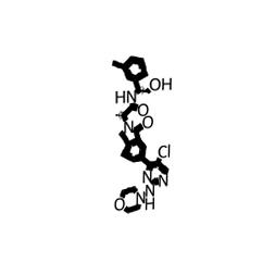 Cc1cccc([C@@H](CO)NC(=O)[C@@H](C)N2Cc3ccc(-c4nc(NN5CCOCC5)ncc4Cl)cc3C2=O)c1